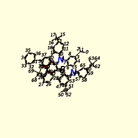 CC(C)c1cc2c3c(c1)N(c1ccc(C(C)(C)C)cc1-c1cc(-c4ccccc4)cc(-c4ccccc4)c1)c1cc4c(cc1B3c1ccc(C(C)(C)C)cc1N2c1cccc(C(C)(C)C)c1)CC(C)(C)C4